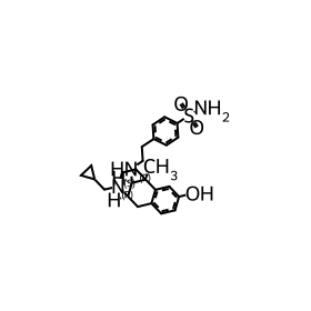 C[C@@]12CCN(CC3CC3)[C@H](Cc3ccc(O)cc31)[C@H]2NCCc1ccc(S(N)(=O)=O)cc1